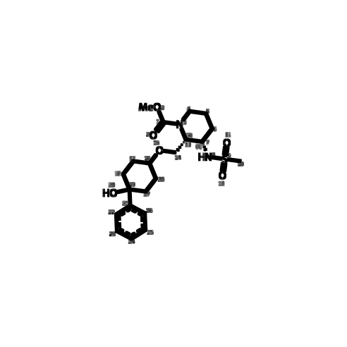 COC(=O)N1CCC[C@H](NS(C)(=O)=O)[C@@H]1COC1CCC(O)(c2ccccc2)CC1